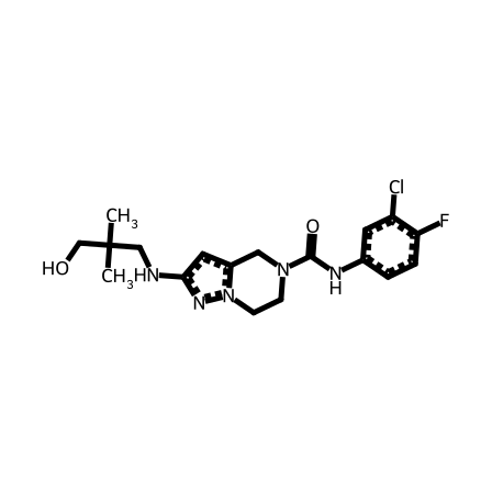 CC(C)(CO)CNc1cc2n(n1)CCN(C(=O)Nc1ccc(F)c(Cl)c1)C2